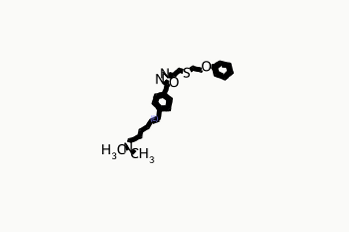 CN(C)CCCC/C=C/c1ccc(-c2nnc(CSCCOc3ccccc3)o2)cc1